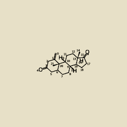 C=C1CC(=O)CC2CC[C@@H]3[C@@H](CC[C@]4(C)C(=O)CC[C@@H]34)[C@@]12C